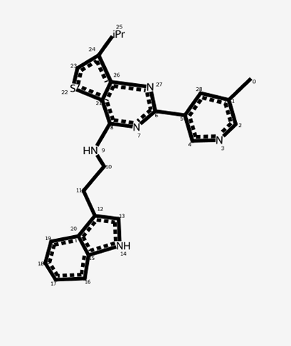 Cc1cncc(-c2nc(NCCc3c[nH]c4ccccc34)c3scc(C(C)C)c3n2)c1